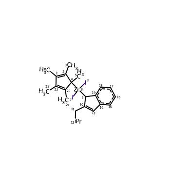 CC1=C(C)[C](C)([Zr]([I])([I])[CH]2C(CC(C)C)=Cc3ccccc32)C(C)=C1C